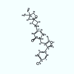 Cc1onc(-c2ccc(Cl)nc2)c1Cn1ncc(N2CC3(C2)CC(F)(F)CO3)cc1=O